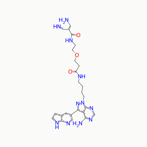 N=C/C(=C\N)C(=O)NCCOCCC(=O)NCCCCn1nc(-c2cnc3[nH]ccc3c2)c2c(N)ncnc21